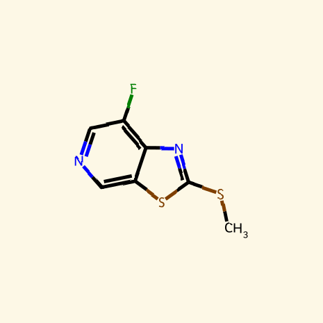 CSc1nc2c(F)cncc2s1